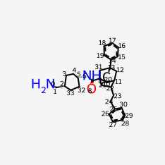 NC[C@H]1CC[C@H](NC(=O)C23CC4CC(c5ccccc5)(CC2C4CCc2ccccc2)C3)CC1